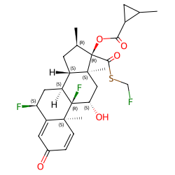 CC1CC1C(=O)O[C@]1(C(=O)SCF)[C@H](C)C[C@H]2[C@@H]3C[C@H](F)C4=CC(=O)C=C[C@]4(C)[C@@]3(F)[C@@H](O)C[C@@]21C